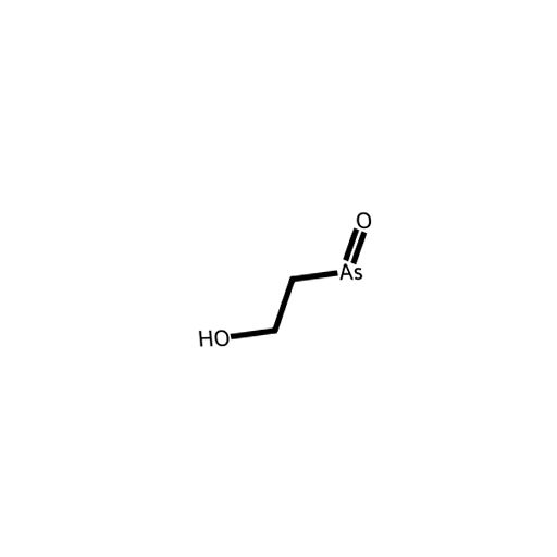 O=[As]CCO